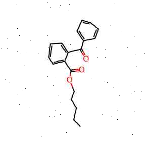 CCCCCOC(=O)c1ccccc1C(=O)c1ccccc1